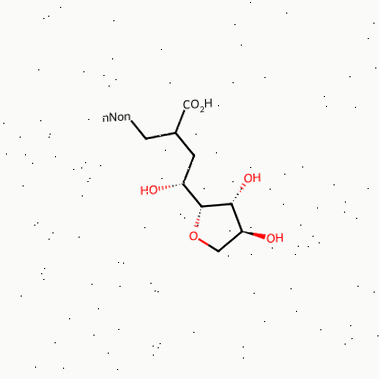 CCCCCCCCCCC(C[C@@H](O)[C@H]1OC[C@H](O)[C@H]1O)C(=O)O